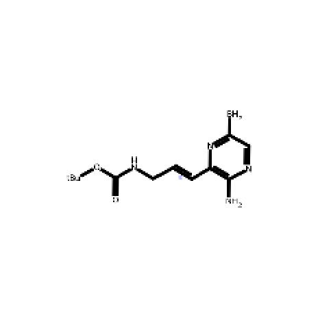 Bc1cnc(N)c(/C=C/CNC(=O)OC(C)(C)C)n1